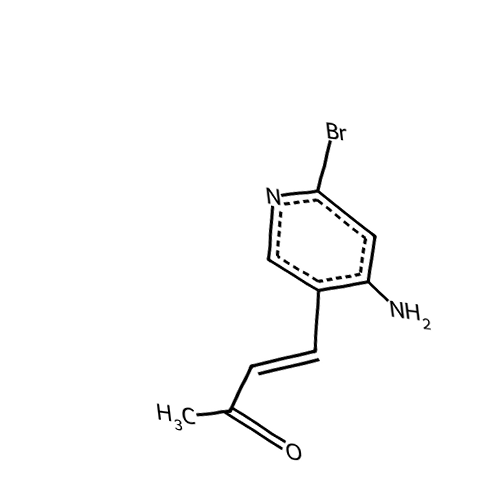 CC(=O)C=Cc1cnc(Br)cc1N